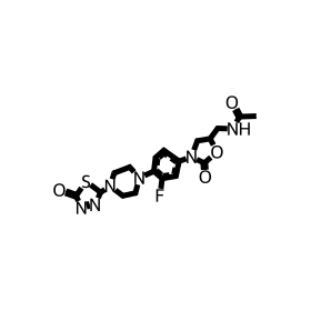 CC(=O)NCC1CN(c2ccc(N3CCN(C4N=NC(=O)S4)CC3)c(F)c2)C(=O)O1